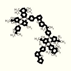 Cc1cc2c3c(c1)N(c1ccc(-c4cccc5c4oc4ccc(CC(C)(C)c6ccc(N7c8ccc(C(C)(C)C)cc8B8c9cc%10c(cc9N(c9ccc(-c%11cccc%12c%11oc%11ccccc%11%12)cc9)c9cc(C(C)(C)C)cc7c98)C(C)(C)CCC%10(C)C)cc6)cc45)cc1)c1cc4c(cc1B3c1ccc(C(C)(C)C)cc1N2c1ccc(C(C)(C)C)cc1)C(C)(C)CCC4(C)C